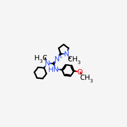 COc1ccc(NC(=[N+]=C2CCCN2C)N(C)C2CCCCC2)cc1